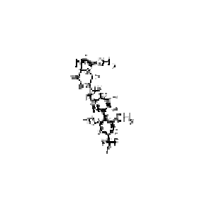 Cc1cc(C(F)(F)F)cc(O)c1-c1ccc2cn(C3CCc4ncc(C)n4C3)nc2n1